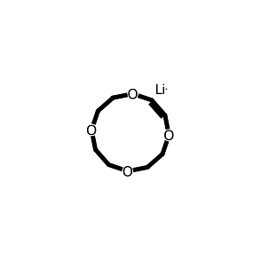 C1=C\OCCOCCOCCO/1.[Li]